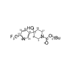 CC(C)(C)OC(=O)N1CCC(O)(c2ccc(C(F)(F)F)nc2)CC1